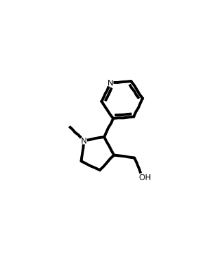 CN1CCC(CO)C1c1cccnc1